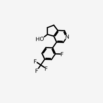 OC1CCc2cncc(-c3ccc(C(F)(F)F)cc3F)c21